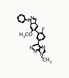 CCn1cnc2c(-c3ccc(F)c(C4=CC5C=NN(c6ccccc6)C5C=C4OC)c3)cnnc21